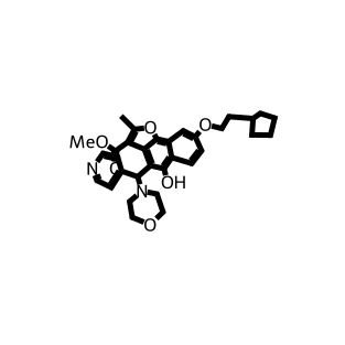 COC(=O)c1c(C)oc2c1c(C(c1ccncc1)N1CCOCC1)c(O)c1ccc(OCCC3CCCC3)cc12